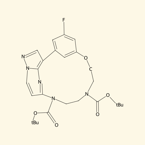 CC(C)(C)OC(=O)N1CCOc2cc(F)cc(c2)-c2cnn3ccc(nc23)N(C(=O)OC(C)(C)C)CC1